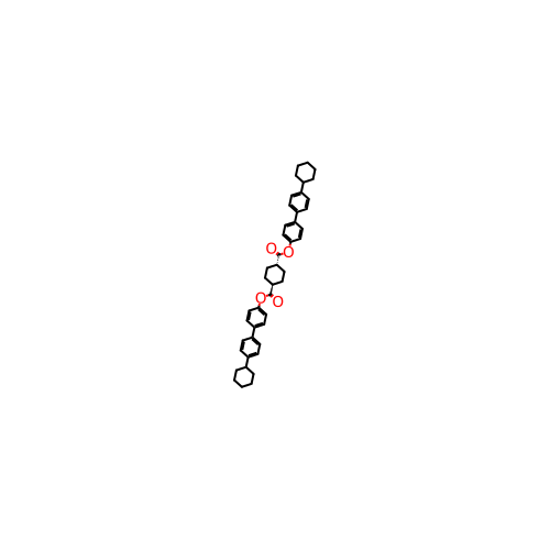 O=C(Oc1ccc(-c2ccc(C3CCCCC3)cc2)cc1)[C@H]1CC[C@H](C(=O)Oc2ccc(-c3ccc(C4CCCCC4)cc3)cc2)CC1